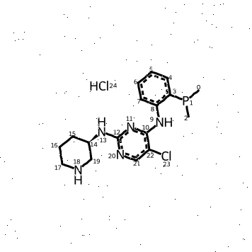 CP(C)c1ccccc1Nc1nc(N[C@@H]2CCCNC2)ncc1Cl.Cl